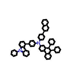 c1ccc(-c2c(-c3ccccc3)c3cc(N(c4ccc(-c5ccc6ccccc6c5)cc4)c4ccc(-c5cccc6c5c5ccccc5n6-c5ccccc5)cc4)ccc3c3ccccc23)cc1